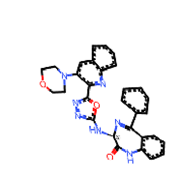 O=C1Nc2ccccc2C(c2ccccc2)=N[C@@H]1Nc1nnc(-c2nc3ccccc3cc2N2CCOCC2)o1